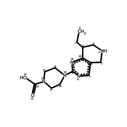 CCC1CNCc2cnc(N3CCN(C(=O)O)CC3)nc21